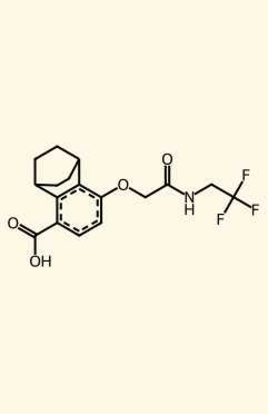 O=C(COc1ccc(C(=O)O)c2c1C1CCC2CC1)NCC(F)(F)F